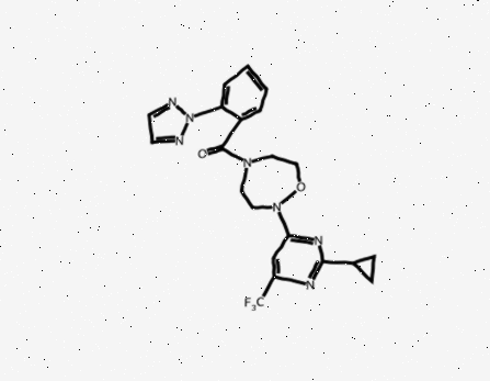 O=C(c1ccccc1-n1nccn1)N1CCON(c2cc(C(F)(F)F)nc(C3CC3)n2)CC1